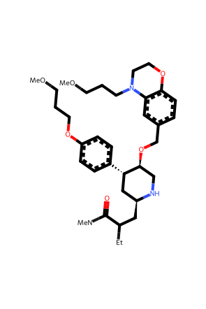 CCC(C[C@H]1C[C@H](c2ccc(OCCCOC)cc2)[C@@H](OCc2ccc3c(c2)N(CCCOC)CCO3)CN1)C(=O)NC